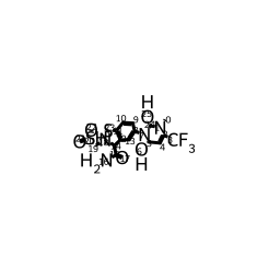 CN1C(C(F)(F)F)=CC(O)N(c2ccc3c(c2)C(C(N)=O)N(C[SH](=O)=O)S3)C1O